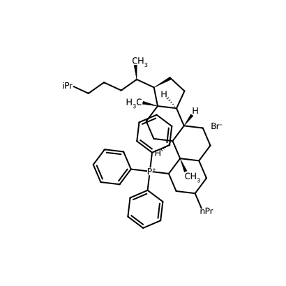 CCCC1CC2CC[C@@H]3[C@H](CC[C@]4(C)[C@@H]([C@H](C)CCCC(C)C)CC[C@@H]34)[C@@]2(C)C([P+](c2ccccc2)(c2ccccc2)c2ccccc2)C1.[Br-]